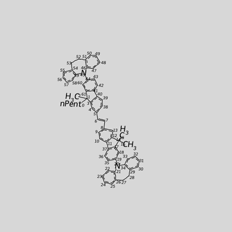 CCCCCC1(C)c2cc(/C=C/c3ccc4c(c3)C(C)(C)c3cc(N5c6ccccc6CCc6ccccc65)ccc3-4)ccc2-c2ccc(N3c4ccccc4CCc4ccccc43)cc21